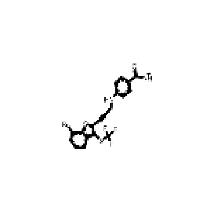 CNC(=O)c1ccc(NCC#Cc2sc3c(Br)cccc3c2SC(F)(F)F)cc1